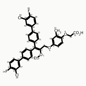 CCOC(COc1ccc(OCC(=O)O)c(C)c1)=C(c1ccc(-c2ccc(F)c(Cl)c2)cc1)c1ccc(-c2ccc(F)c(Cl)c2)cc1